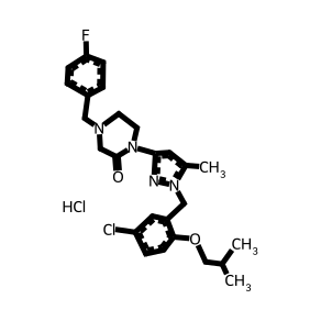 Cc1cc(N2CCN(Cc3ccc(F)cc3)CC2=O)nn1Cc1cc(Cl)ccc1OCC(C)C.Cl